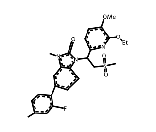 CCOc1nc(C(CS(C)(=O)=O)n2c(=O)n(C)c3cc(-c4ccc(C)cc4F)ccc32)ccc1OC